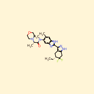 CC[C@@H]1Cc2c(-c3nc4cc(N(C)C(=O)[C@H](C)N5CCOCC5)c(C)cc4[nH]3)n[nH]c2CC1(F)F